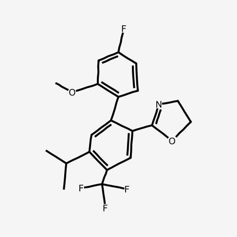 COc1cc(F)ccc1-c1cc(C(C)C)c(C(F)(F)F)cc1C1=NCCO1